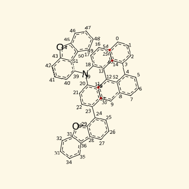 c1ccc(-c2cccc3cccc(-c4ccccc4N(c4ccc(-c5cccc6c5oc5ccccc56)cc4)c4cccc5oc6ccccc6c45)c23)cc1